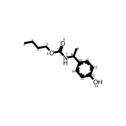 CCCCOC(=O)NC(C)c1ccc(O)cc1